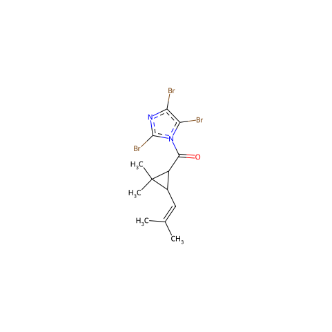 CC(C)=CC1C(C(=O)n2c(Br)nc(Br)c2Br)C1(C)C